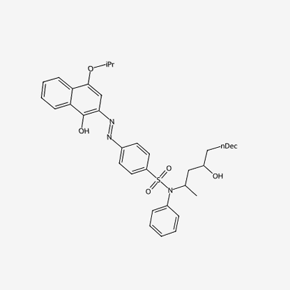 CCCCCCCCCCCC(O)CC(C)N(c1ccccc1)S(=O)(=O)c1ccc(N=Nc2cc(OC(C)C)c3ccccc3c2O)cc1